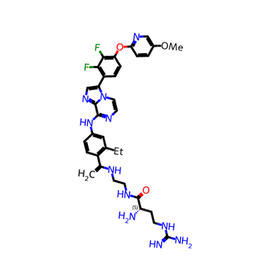 C=C(NCCNC(=O)[C@@H](N)CCNC(=N)N)c1ccc(Nc2nccn3c(-c4ccc(Oc5ccc(OC)cn5)c(F)c4F)cnc23)cc1CC